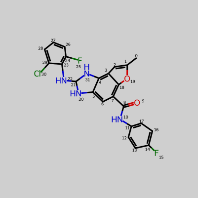 Cc1cc2c3c(cc(C(=O)Nc4ccc(F)cc4)c2o1)NC(Nc1c(F)cccc1Cl)N3